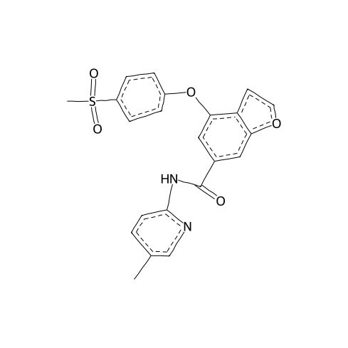 Cc1ccc(NC(=O)c2cc(Oc3ccc(S(C)(=O)=O)cc3)c3ccoc3c2)nc1